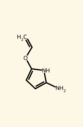 C=COc1ccc(N)[nH]1